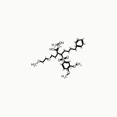 COCCOCCC(C(=O)O)C(CCCCc1ccccc1)S(=O)(=O)c1ccc(OC)c(OC)c1.NO